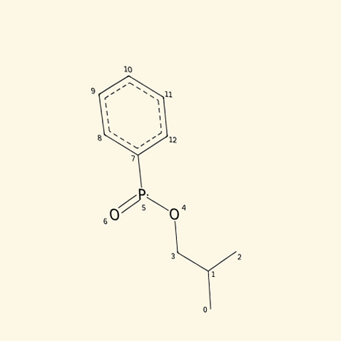 CC(C)CO[P](=O)c1ccccc1